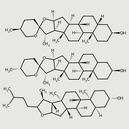 CC(C)CCC1OC2C[C@H]3[C@@H]4CC[C@@H]5C[C@@H](O)CC[C@]5(C)[C@H]4CC[C@]3(C)[C@H]2[C@@H]1C.C[C@@H]1CC[C@@]2(OC1)O[C@H]1C[C@H]3[C@@H]4CCC5C[C@@H](O)CC[C@]5(C)[C@H]4CC[C@]3(C)[C@H]1[C@@H]2C.C[C@H]1CC[C@@]2(OC1)O[C@H]1C[C@H]3[C@@H]4CC[C@@H]5C[C@@H](O)CC[C@]5(C)[C@H]4CC[C@]3(C)[C@H]1[C@@H]2C